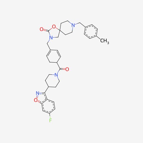 Cc1ccc(CN2CCC3(CC2)CN(CC2=CCC(C(=O)N4CCC(c5noc6cc(F)ccc56)CC4)C=C2)C(=O)O3)cc1